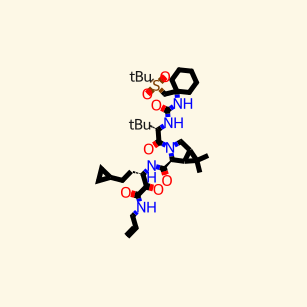 C=CCNC(=O)C(=O)[C@H](CCC1CC1)NC(=O)[C@@H]1C2C(CN1C(=O)[C@@H](NC(=O)NC1(CS(=O)(=O)C(C)(C)C)CCCCC1)C(C)(C)C)C2(C)C